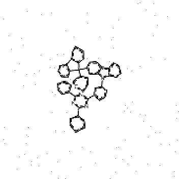 c1ccc(-c2nc(-c3ccccc3)nc(-c3cccc(-n4c5ccccc5c5ccc(C6(c7ccccc7)c7ccccc7-c7ccccc76)cc54)c3)n2)cc1